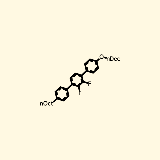 CCCCCCCCCCOc1ccc(-c2ccc(-c3ccc(CCCCCCCC)cc3)c(F)c2F)cc1